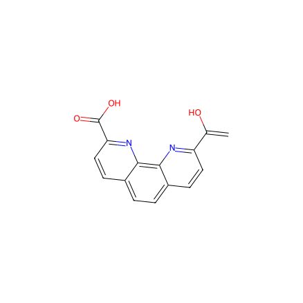 C=C(O)c1ccc2ccc3ccc(C(=O)O)nc3c2n1